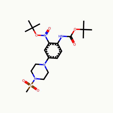 CC(C)(C)OC(=O)Nc1ccc(N2CCN(S(C)(=O)=O)CC2)cc1[N+](=O)OC(C)(C)C